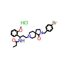 CCC(=O)NC(CCN1CCC2(CC1)CCN(Cc1ccc(Br)cc1)C2=O)c1ccccc1OC.Cl